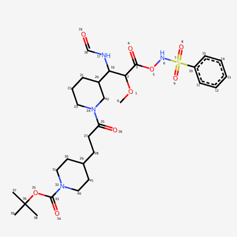 COC(C(=O)ONS(=O)(=O)c1ccccc1)C(NC=O)C1CCCN(C(=O)CCC2CCN(C(=O)OC(C)(C)C)CC2)C1